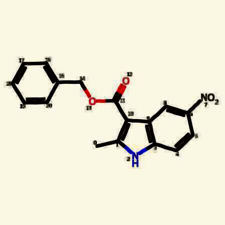 Cc1[nH]c2ccc([N+](=O)[O-])cc2c1C(=O)OCc1ccccc1